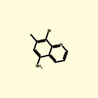 Cc1cc(N)c2cccnc2c1Br